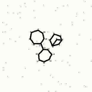 C1CC2CC(C1)C2.C1CCCC(C2CCCCCC2)CC1